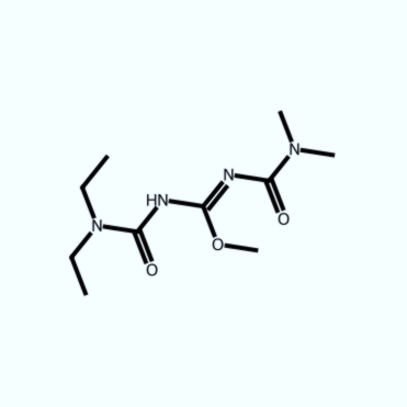 CCN(CC)C(=O)NC(=NC(=O)N(C)C)OC